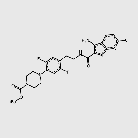 CC(C)(C)OC(=O)N1CCN(c2cc(F)c(CCNC(=O)c3sc4nc(Cl)ccc4c3N)cc2F)CC1